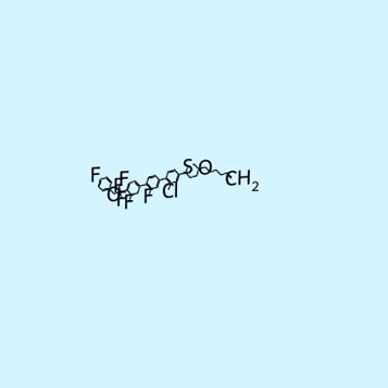 C=CCCCOC1CCC(c2ccc(-c3ccc(C4=CC(F)=C(C(F)(F)Oc5ccc(F)cc5)C(F)C4)c(F)c3)c(Cl)c2)SC1